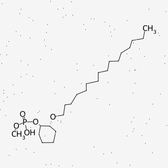 CCCCCCCCCCCCCCCCO[C@@H]1CCCC[C@@H]1OP(=O)(O)OC